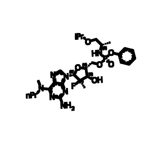 CCCN(C)c1nc(N)nc2c1ncn2[C@@H]1O[C@H](COP(=O)(N[C@@H](C)COC(C)C)Oc2ccccc2)[C@@H](O)[C@@]1(C)F